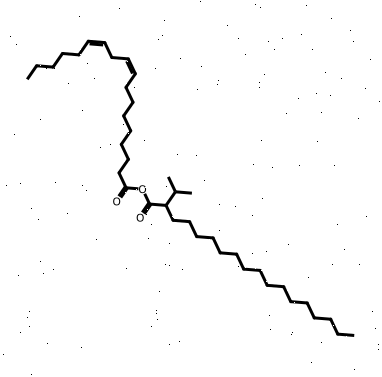 CCCCC/C=C\C/C=C\CCCCCCCC(=O)OC(=O)C(CCCCCCCCCCCCCCCC)C(C)C